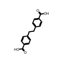 O=C(O)c1ccc([CH]Cc2ccc(C(=O)O)cc2)cc1